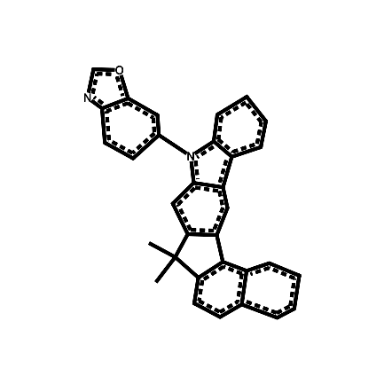 CC1(C)c2cc3c(cc2-c2c1ccc1ccccc21)c1ccccc1n3-c1ccc2ncoc2c1